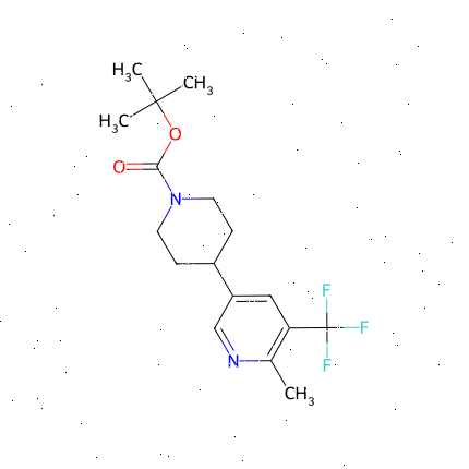 Cc1ncc(C2CCN(C(=O)OC(C)(C)C)CC2)cc1C(F)(F)F